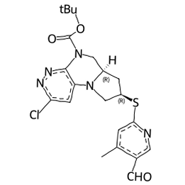 Cc1cc(S[C@@H]2C[C@@H]3CN(C(=O)OC(C)(C)C)c4nnc(Cl)cc4N3C2)ncc1C=O